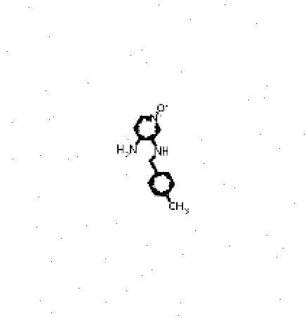 Cc1ccc(CNc2c[n+]([O-])ccc2N)cc1